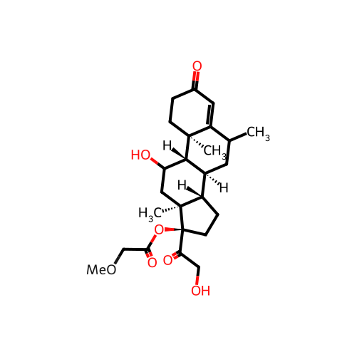 COCC(=O)O[C@]1(C(=O)CO)CC[C@H]2[C@@H]3CC(C)C4=CC(=O)CC[C@]4(C)[C@H]3C(O)C[C@@]21C